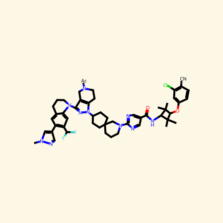 CC(=O)N1CCc2c(c(N3CCCc4cc(-c5cnn(C)c5)c(C(F)F)cc43)nn2C2CCC3(CCCN(c4ncc(C(=O)NC5C(C)(C)C(Oc6ccc(C#N)c(Cl)c6)C5(C)C)cn4)C3)CC2)C1